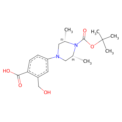 C[C@@H]1CN(c2ccc(C(=O)O)c(CO)c2)C[C@H](C)N1C(=O)OC(C)(C)C